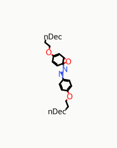 CCCCCCCCCCCCOC1=CC2OC2(N=Nc2ccc(OCCCCCCCCCCCC)cc2)C=C1